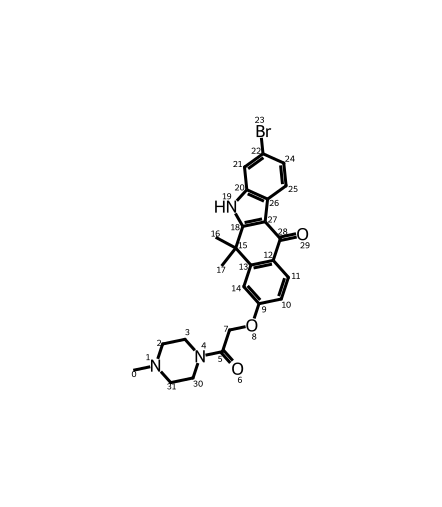 CN1CCN(C(=O)COc2ccc3c(c2)C(C)(C)c2[nH]c4cc(Br)ccc4c2C3=O)CC1